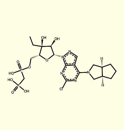 CC[C@@]1(O)[C@@H](COP(=O)(O)CP(=O)(O)O)O[C@@H](n2ncc3c(N4C[C@H]5CCC[C@H]5C4)nc(Cl)nc32)[C@@H]1O